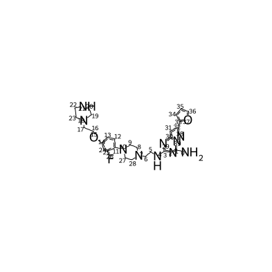 Nc1nc(NCCN2CCN(c3ccc(OCCN4CCNCC4)cc3F)CC2)nc2cc(-c3ccco3)nn12